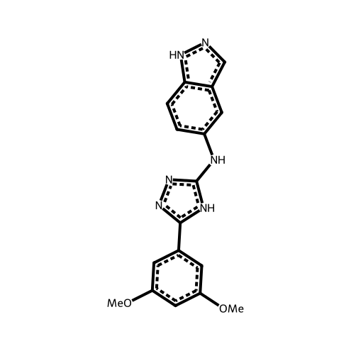 COc1cc(OC)cc(-c2nnc(Nc3ccc4[nH]ncc4c3)[nH]2)c1